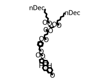 CCCCCCCCCCCCCCCC(=O)OCC(COC(=O)CCCCCCCCCCCCCCC)OC(=O)CCC(=O)Oc1ccc(COC(=O)OC2CC[C@H]3[C@@H]4CCC5=CC(=O)CC[C@]5(C)[C@H]4CC[C@]23C)cc1